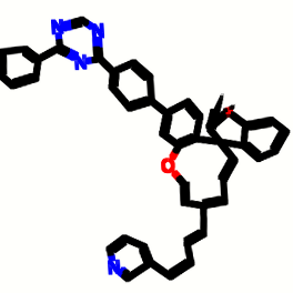 C1=C(/C=C/C=C\c2cccnc2)/C=C/Oc2cc(-c3ccc(-c4ncnc(-c5ccccc5)n4)cc3)ccc2C2(/C=C/1)c1ccccc1-c1ccccc12